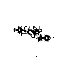 CC1=CC(OCc2ncc(F)cc2F)=C(Cl)CN1c1cc(N2C=CC=C(C3CCOCC3)C2)ncc1C